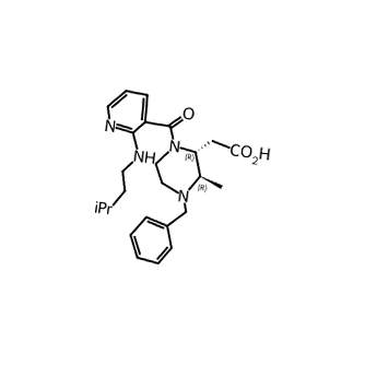 CC(C)CCNc1ncccc1C(=O)N1CCN(Cc2ccccc2)[C@H](C)[C@H]1CC(=O)O